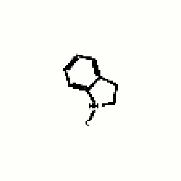 [O-][NH+]1CCc2ccccc21